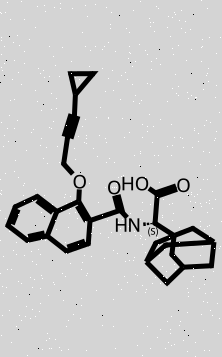 O=C(N[C@H](C(=O)O)C12CC3CC(CC(C3)C1)C2)c1ccc2ccccc2c1OCC#CC1CC1